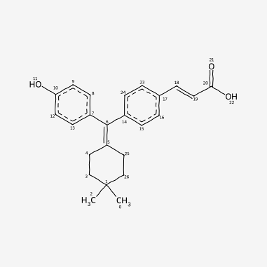 CC1(C)CCC(=C(c2ccc(O)cc2)c2ccc(C=CC(=O)O)cc2)CC1